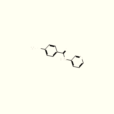 COc1ccc(C(=O)Nc2c[c]cnc2)cc1